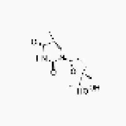 Cc1cn([C@H]2CC[C@](CO)([C@H](C)O)O2)c(=O)[nH]c1=O